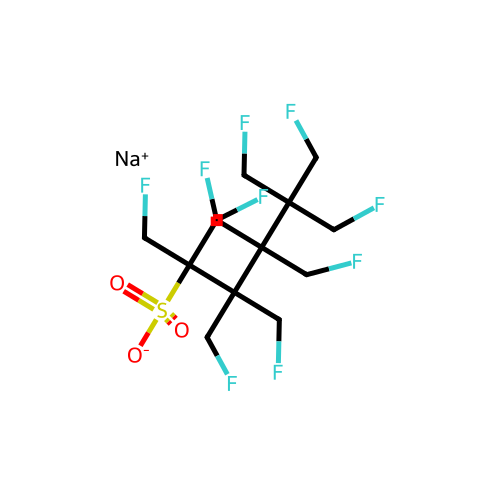 O=S(=O)([O-])C(CF)(CF)C(CF)(CF)C(CF)(CF)C(CF)(CF)CF.[Na+]